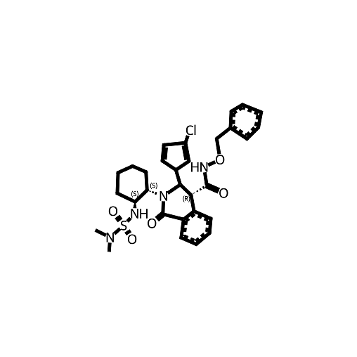 CN(C)S(=O)(=O)N[C@H]1CCCC[C@@H]1N1C(=O)c2ccccc2[C@@H](C(=O)NOCc2ccccc2)C1C1C=CC(Cl)=C1